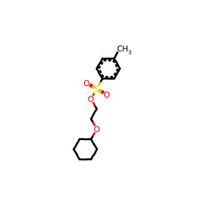 Cc1ccc(S(=O)(=O)OCCOC2CCCCC2)cc1